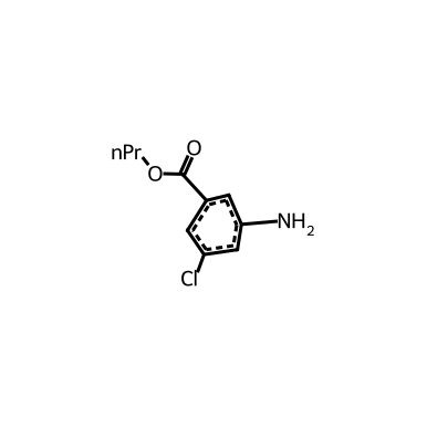 CCCOC(=O)c1cc(N)cc(Cl)c1